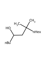 CCCCCCC(C)(C)CC(O)CCCC